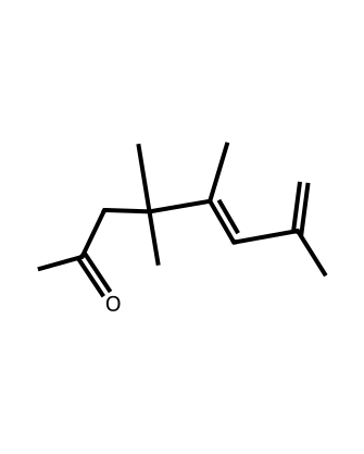 C=C(C)/C=C(\C)C(C)(C)CC(C)=O